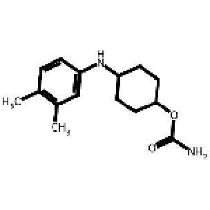 Cc1ccc(NC2CCC(OC(N)=O)CC2)cc1C